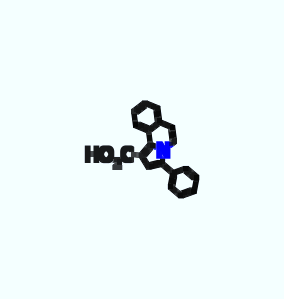 O=C(O)c1cc(-c2ccccc2)n2ccc3ccccc3c12